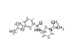 CC(C)Oc1cccc(C(=O)N[C@@H]2CCCN(C(C)C)C2)c1